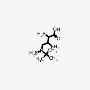 BC(CN(B)C(C)(C)C)C(B)C(=O)O